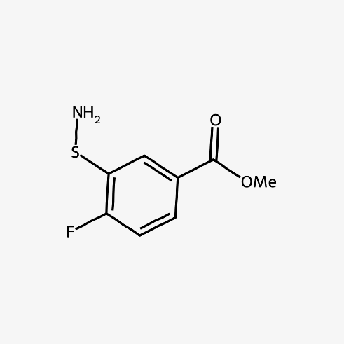 COC(=O)c1ccc(F)c(SN)c1